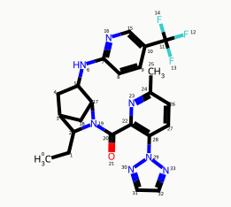 CCC1C2CC(Nc3ccc(C(F)(F)F)cn3)C(C2)N1C(=O)c1nc(C)ccc1-n1nccn1